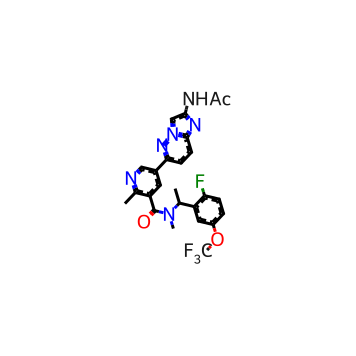 CC(=O)Nc1cn2nc(-c3cnc(C)c(C(=O)N(C)C(C)c4cc(OC(F)(F)F)ccc4F)c3)ccc2n1